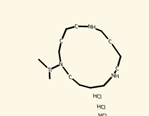 Cl.Cl.Cl.[CH3][Ti]([CH3])[N]1CCCCNCCCCNCCCC1